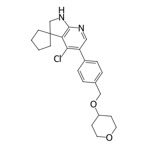 Clc1c(-c2ccc(COC3CCOCC3)cc2)cnc2c1C1(CCCC1)CN2